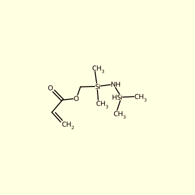 C=CC(=O)OC[Si](C)(C)N[SiH](C)C